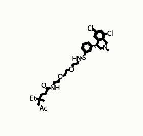 CCC(C)(CCC(=O)NCCOCCOCCNSc1cccc([C@@H]2CN(C)Cc3c(Cl)cc(Cl)cc32)c1)CC(C)=O